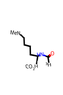 [3H]C(=O)NC(CCCCNC)C(=O)O